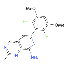 COc1cc(OC)c(F)c(-c2cc3cnc(C)nc3c(N)n2)c1F